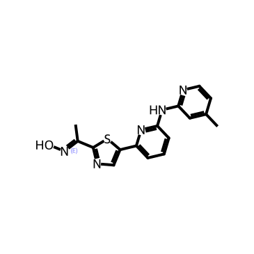 C/C(=N\O)c1ncc(-c2cccc(Nc3cc(C)ccn3)n2)s1